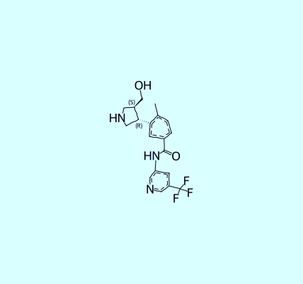 Cc1ccc(C(=O)Nc2cncc(C(F)(F)F)c2)cc1[C@@H]1CNC[C@H]1CO